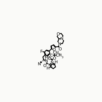 CC(C)(C)OC(=O)N1[C@@H]2CC[C@@H](C2)[C@H]1C(=O)N[C@H](C#N)Cc1ccc(-c2ccc(C(=O)N3CCN4CCOCC4C3)o2)cc1F